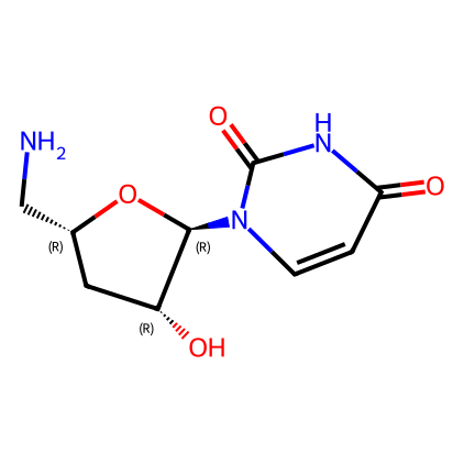 NC[C@H]1C[C@@H](O)[C@H](n2ccc(=O)[nH]c2=O)O1